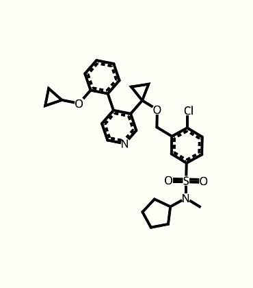 CN(C1CCCC1)S(=O)(=O)c1ccc(Cl)c(COC2(c3cnccc3-c3ccccc3OC3CC3)CC2)c1